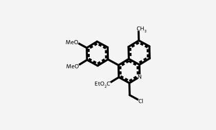 CCOC(=O)c1c(CCl)nc2ccc(C)cc2c1-c1ccc(OC)c(OC)c1